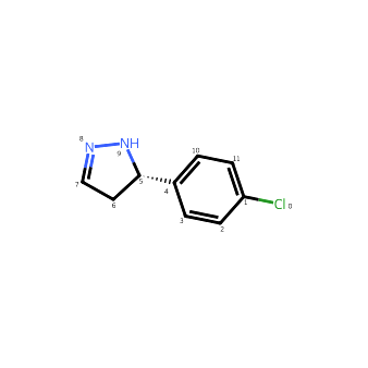 Clc1ccc([C@@H]2CC=NN2)cc1